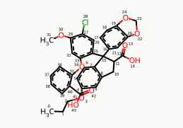 CCCOc1ccc2c(c1)CC(C(=O)O)C2(c1ccc2c(c1)OCO2)c1cc(Cl)c(OC)cc1Oc1ccccc1C(=O)O